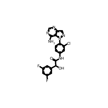 Nc1ncnc2cnn(-c3ccc(NC(=O)C(O)c4cc(F)cc(F)c4)cc3Cl)c12